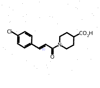 O=C(O)C1CCN(C(=O)/C=C/c2ccc(Cl)cc2)CC1